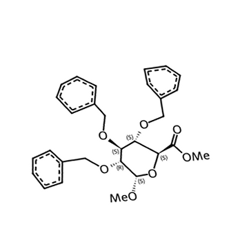 COC(=O)[C@H]1O[C@H](OC)[C@H](OCc2ccccc2)[C@@H](OCc2ccccc2)[C@@H]1OCc1ccccc1